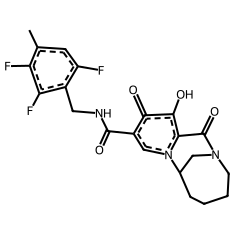 Cc1cc(F)c(CNC(=O)c2cn3c(c(O)c2=O)C(=O)N2CCCCC3C2)c(F)c1F